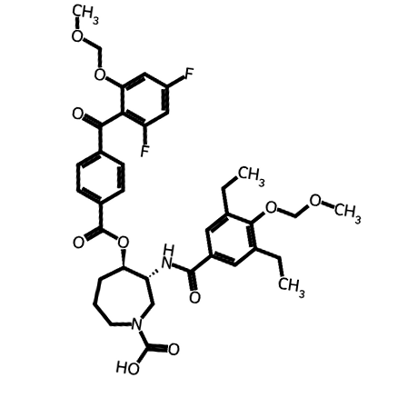 CCc1cc(C(=O)N[C@@H]2CN(C(=O)O)CCC[C@H]2OC(=O)c2ccc(C(=O)c3c(F)cc(F)cc3OCOC)cc2)cc(CC)c1OCOC